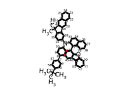 CC(C)(C)c1ccc(-c2ccc(N(c3ccc4c(c3)-c3cc5ccccc5cc3C4(C)C)c3ccc4ccccc4c3-c3cccc4c3oc3ccccc34)cc2)cc1